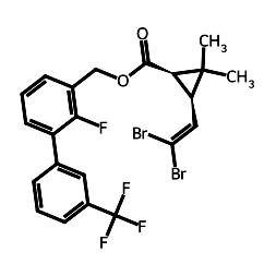 CC1(C)[C@H](C(=O)OCc2cccc(-c3cccc(C(F)(F)F)c3)c2F)[C@@H]1C=C(Br)Br